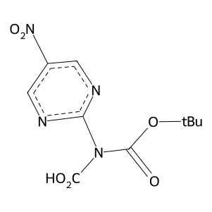 CC(C)(C)OC(=O)N(C(=O)O)c1ncc([N+](=O)[O-])cn1